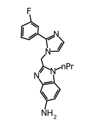 CCCn1c(Cn2ccnc2-c2cccc(F)c2)nc2cc(N)ccc21